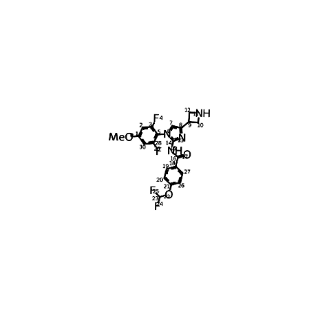 COc1cc(F)c(-n2cc(C3CNC3)nc2NC(=O)c2ccc(OC(F)F)cc2)c(F)c1